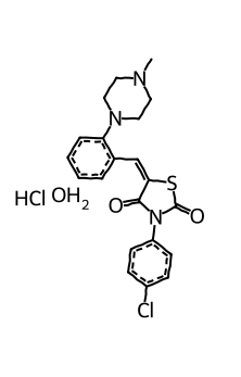 CN1CCN(c2ccccc2C=C2SC(=O)N(c3ccc(Cl)cc3)C2=O)CC1.Cl.O